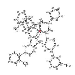 N#Cc1ccccc1-c1ccc2c(c1)c1cc(-c3ccccc3C#N)ccc1n2-c1cc(-c2cccc(F)c2)ccc1-c1nc(-c2ccccc2)nc(-c2ccccc2)n1